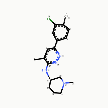 Cc1cc(-c2ccc(C(F)(F)F)c(Cl)c2)nnc1N[C@@H]1CCCN(C)C1